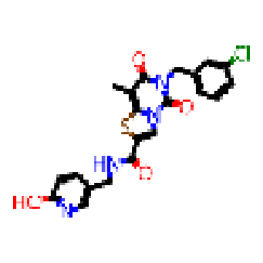 Cc1c(=O)n(Cc2cccc(Cl)c2)c(=O)n2cc(C(=O)NCc3ccc(O)nc3)sc12